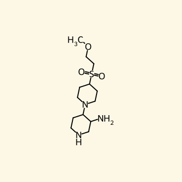 COCCS(=O)(=O)C1CCN(C2CCNCC2N)CC1